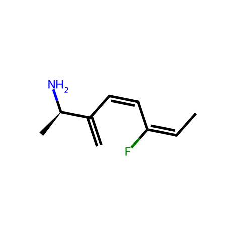 C=C(/C=C\C(F)=C/C)[C@@H](C)N